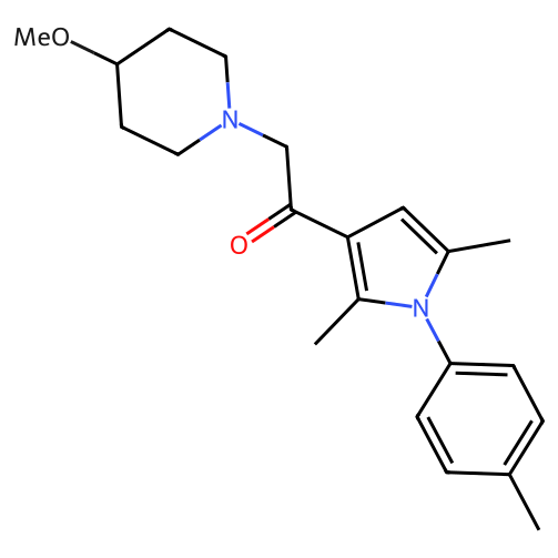 COC1CCN(CC(=O)c2cc(C)n(-c3ccc(C)cc3)c2C)CC1